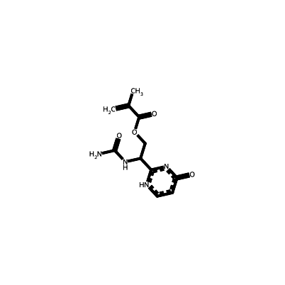 C=C(C)C(=O)OCC(NC(N)=O)c1nc(=O)cc[nH]1